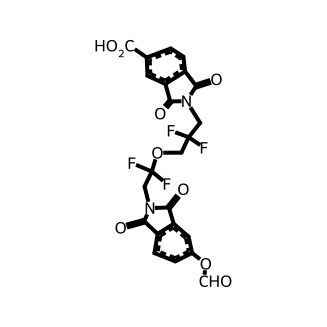 O=COc1ccc2c(c1)C(=O)N(CC(F)(F)OCC(F)(F)CN1C(=O)c3ccc(C(=O)O)cc3C1=O)C2=O